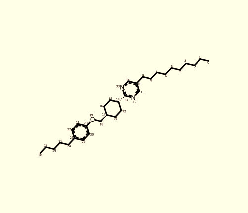 CCCCCCCCCCc1cnc([C@H]2CC[C@H](COc3ccc(CCCCC)cc3)CC2)nc1